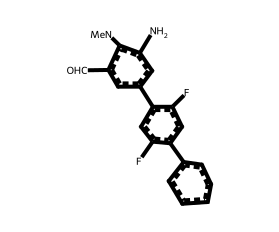 CNc1c(N)cc(-c2cc(F)c(-c3ccccc3)cc2F)cc1C=O